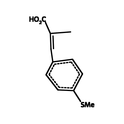 CSc1ccc(/C=C(\C)C(=O)O)cc1